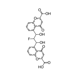 O=C(O)c1cc(=O)c2c(C(O)C(F)C(O)c3cccc4oc(C(=O)O)cc(=O)c34)cccc2o1